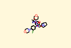 CC(C)(C)c1ccc(CN2C3CCC2CC(CN(C(=O)NC2CCOCC2)c2ccc(N4CCOCC4)c(F)c2)C3)cc1